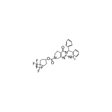 Nc1nc2c(c(=O)n1C(c1ccccc1)c1ccccc1)CCN(C(=O)OC1CCC(C(F)(F)F)(C(F)(F)F)CC1)C2